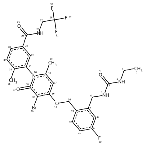 CCNC(=O)NCc1cc(F)ccc1COc1cc(C)n(-c2cc(C(=O)NCC(F)(F)F)ccc2C)c(=O)c1Br